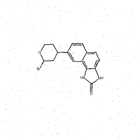 O=c1[nH]c2cnc3ccc(C4CCOC(Br)C4)cc3c2[nH]1